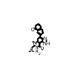 CN(C)CCN(C)c1cc(-c2ccc3c(c2)C(=O)CCC3)c2nc[nH]c2c1C(N)=O